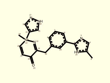 Cc1cnc(-c2cccc(CC3=N[N+](C)(c4cn[nH]c4)C=CC3=O)c2)[nH]1